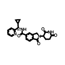 O=C1CCC(N2Cc3cc(C(=O)N[C@H](c4ccccn4)C4CC4)ccc3C2=O)C(=O)N1